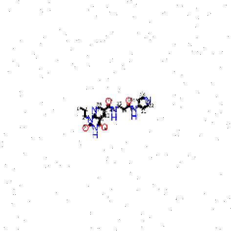 CCCn1c(=O)[nH]c(=O)c2cc(C(=O)NCCC(=O)Nc3ccncc3)cnc21